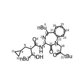 CCCCC1=NC(NC(=O)C(CC2CC2)C(O)CCCC)C(=O)N(CC(=O)C(C)(C)C)c2ccccc21